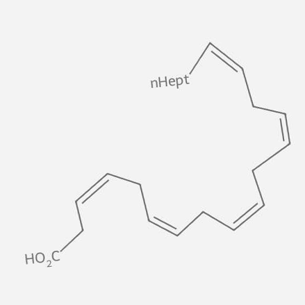 CCCCCCC/C=C\C/C=C\C/C=C\C/C=C\C/C=C\CC(=O)O